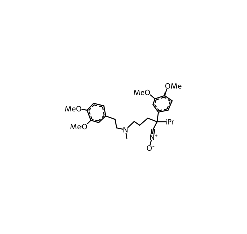 COc1ccc(CCN(C)CCCC(C#[N+][O-])(c2ccc(OC)c(OC)c2)C(C)C)cc1OC